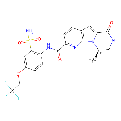 C[C@@H]1CNC(=O)c2cc3ccc(C(=O)Nc4ccc(OCC(F)(F)F)cc4S(N)(=O)=O)nc3n21